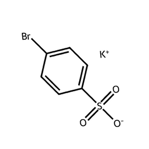 O=S(=O)([O-])c1ccc(Br)cc1.[K+]